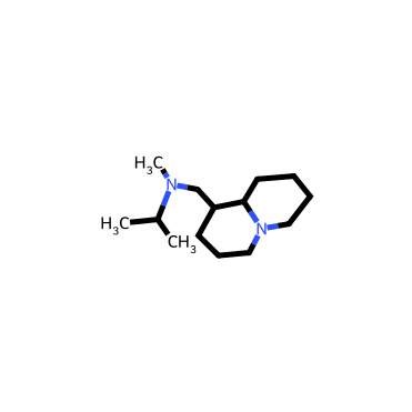 CC(C)N(C)CC1CCCN2CCCCC12